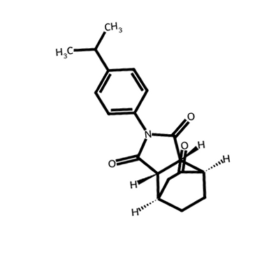 CC(C)c1ccc(N2C(=O)[C@H]3[C@@H]4CC[C@@H](C(=O)C4)[C@H]3C2=O)cc1